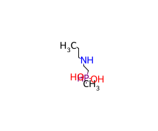 CCCNCC[PH](C)(O)O